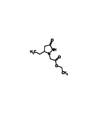 CCOC(=O)CN1NC(=O)CC1CC